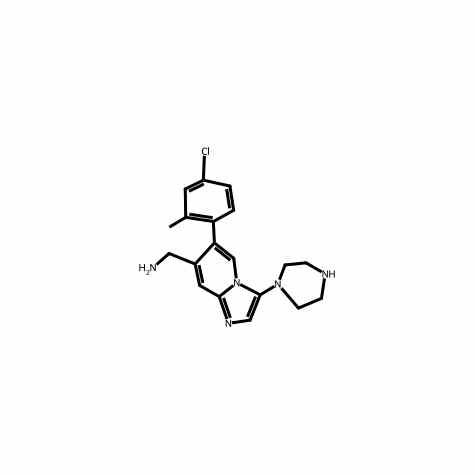 Cc1cc(Cl)ccc1-c1cn2c(N3CCNCC3)cnc2cc1CN